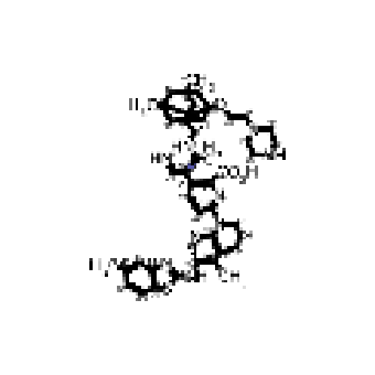 C/C(NCC12CC3(C)CC(C)(C1)CC(OCCN1CCNCC1)(C3)C2)=C(/C=N)c1ccc(N2CCCc3c2nnc(Nc2nc4cc(C)ccc4s2)c3C)nc1C(=O)O